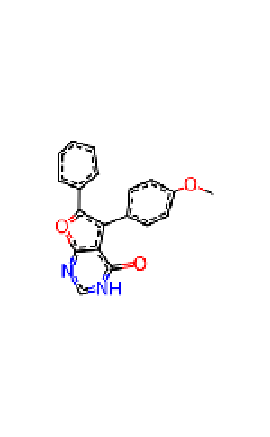 COc1ccc(-c2c(-c3ccccc3)oc3nc[nH]c(=O)c23)cc1